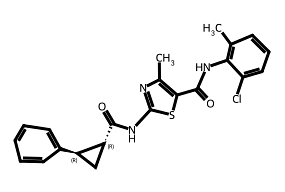 Cc1cccc(Cl)c1NC(=O)c1sc(NC(=O)[C@@H]2C[C@H]2c2ccccc2)nc1C